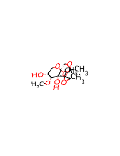 CO[C@@H]1[C@H](O)CO[C@]2(COC(C)(C)O2)[C@@]1(O)C1(C)CO1